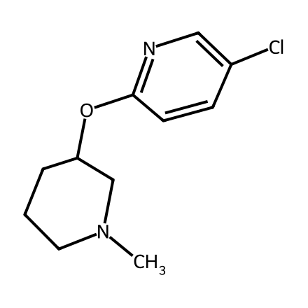 CN1CCCC(Oc2ccc(Cl)cn2)C1